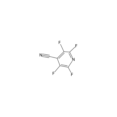 N#Cc1c(F)c(F)nc(F)c1F